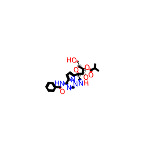 CC(C)C(=O)O[C@H]1[C@@H](O)[C@](C#N)(c2ccc3c(NC(=O)c4ccccc4)ncnn23)O[C@@H]1CO